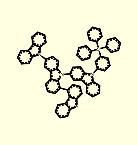 c1ccc([Si](c2ccccc2)(c2ccccc2)c2cccc(-n3c4ccccc4c4cc(-n5c6ccc(-n7c8ccccc8c8ccccc87)cc6c6cccc(-c7cccc8sc9ccccc9c78)c65)ccc43)c2)cc1